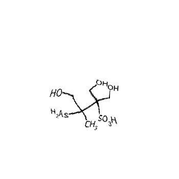 CC([AsH2])(CO)C(CO)(CO)S(=O)(=O)O